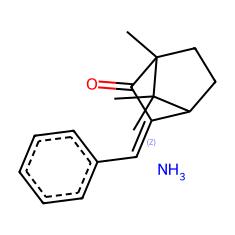 CC12CCC(/C(=C/c3ccccc3)C1=O)C2(C)C.N